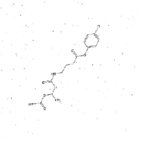 CCCC(=O)OC(C)OC(=O)NCCCC(=O)Oc1ccc(Cl)cc1